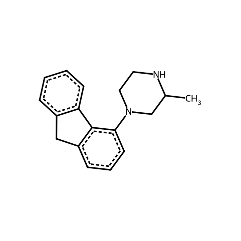 CC1CN(c2cccc3c2-c2ccccc2C3)CCN1